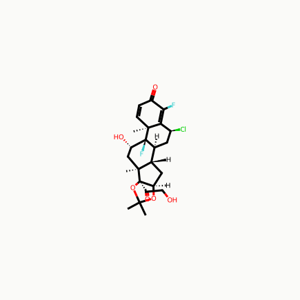 CC1(C)O[C@@H]2C[C@H]3[C@@H]4C[C@H](Cl)C5=C(F)C(=O)C=C[C@]5(C)[C@@]4(F)[C@@H](O)C[C@]3(C)[C@]2(C(=O)CO)O1